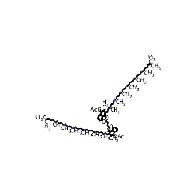 CC(=O)Oc1c(C)c(C/C=C(\C)CC/C=C(\C)CC/C=C(\C)CC/C=C(\C)CC/C=C(\C)CC/C=C(\C)CCC=C(C)C)c(OC(=O)CCC(=O)Oc2c(C/C=C(\C)CC/C=C(\C)CC/C=C(\C)CC/C=C(\C)CC/C=C(\C)CC/C=C(\C)CCC=C(C)C)c(C)c(OC(C)=O)c3ccccc23)c2ccccc12